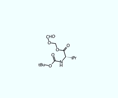 CC(C)[C@H](NC(=O)OC(C)(C)C)C(=O)OCO[C]=O